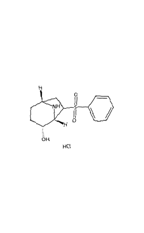 Cl.O=S(=O)(c1ccccc1)C1C[C@H]2CC[C@@H](O)[C@@H]1N2